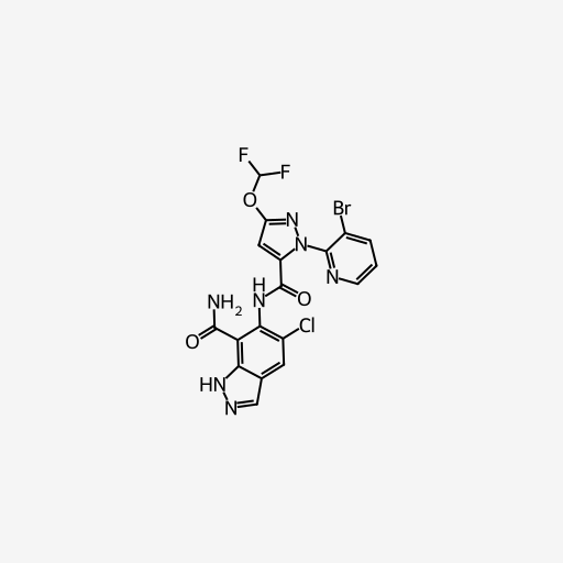 NC(=O)c1c(NC(=O)c2cc(OC(F)F)nn2-c2ncccc2Br)c(Cl)cc2cn[nH]c12